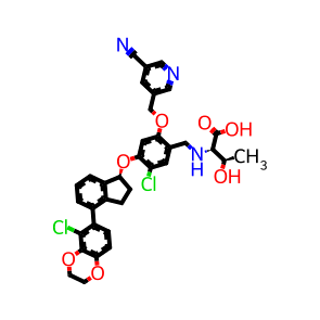 C[C@@H](O)[C@H](NCc1cc(Cl)c(O[C@H]2CCc3c(-c4ccc5c(c4Cl)OCCO5)cccc32)cc1OCc1cncc(C#N)c1)C(=O)O